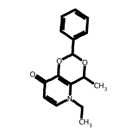 CCn1ccc(=O)c2c1C(C)OC(c1ccccc1)O2